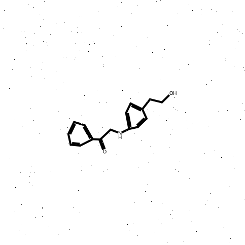 O=C(CNc1ccc(CCO)cc1)c1ccccc1